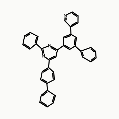 c1ccc(-c2ccc(-c3cc(-c4cc(-c5ccccc5)cc(-c5cccnc5)c4)nc(-c4ccccc4)n3)cc2)cc1